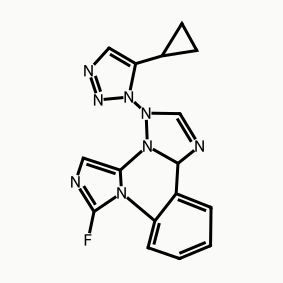 Fc1ncc2n1-c1ccccc1C1N=CN(n3nncc3C3CC3)N21